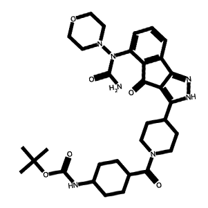 CC(C)(C)OC(=O)NC1CCC(C(=O)N2CCC(c3[nH]nc4c3C(=O)c3c-4cccc3N(C(N)=O)N3CCOCC3)CC2)CC1